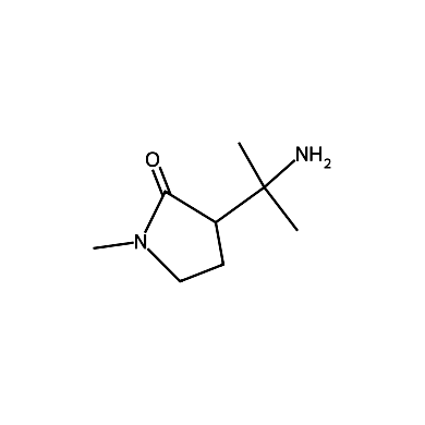 CN1CCC(C(C)(C)N)C1=O